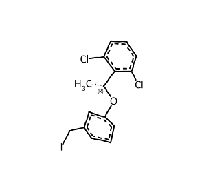 C[C@@H](Oc1cccc(CI)c1)c1c(Cl)cccc1Cl